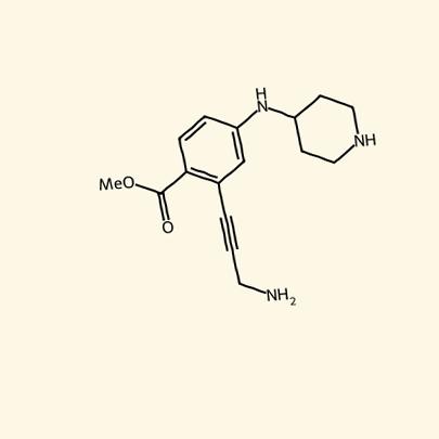 COC(=O)c1ccc(NC2CCNCC2)cc1C#CCN